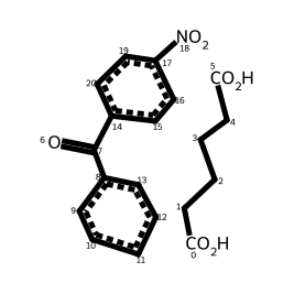 O=C(O)CCCCC(=O)O.O=C(c1ccccc1)c1ccc([N+](=O)[O-])cc1